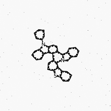 c1ccc(-n2c3ccccc3c3c4c(ccc32)c2c3ccccc3cn2c2c4ccc3sc4ccccc4c32)cc1